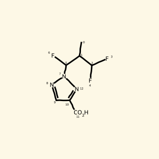 CC(C(F)F)C(F)n1ncc(C(=O)O)n1